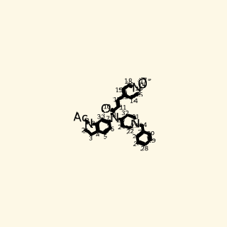 CC(=O)N1CCc2ccc(N(C(=O)/C=C/c3cc[n+]([O-])cc3)C3CCN(Cc4ccccc4)CC3)cc21